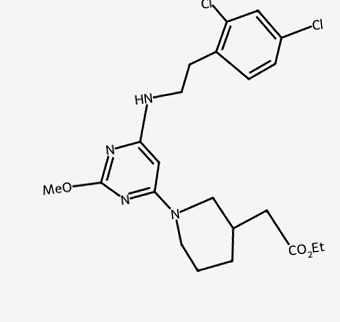 CCOC(=O)CC1CCCN(c2cc(NCCc3ccc(Cl)cc3Cl)nc(OC)n2)C1